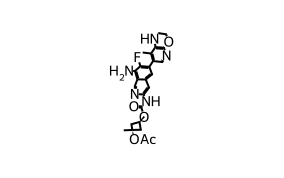 CC(=O)O[C@]1(C)C[C@@H](OC(=O)Nc2cc3cc(-c4cnc5c(c4C)NCCO5)c(F)c(N)c3cn2)C1